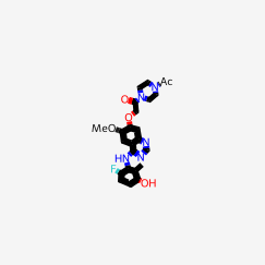 COc1cc2c(Nc3c(F)ccc(O)c3C)ncnc2cc1OCC(=O)N1CCN(C(C)=O)CC1